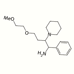 COCCOCCC(C(N)c1ccccc1)N1CCCCC1